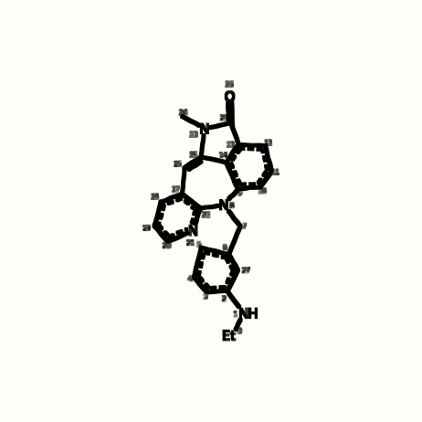 CCNc1cccc(CN2c3cccc4c3C(=Cc3cccnc32)N(C)C4=O)c1